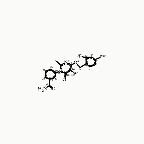 Cc1nc(OCc2ccc(F)cc2F)c(Br)c(=O)n1-c1cccc(C(N)=O)c1